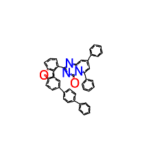 O=c1nc(-c2cccc3oc4ccc(-c5ccc(-c6ccccc6)cc5)cc4c23)nc2cc(-c3ccccc3)cc(-c3ccccc3)n12